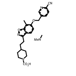 CNC.Cc1c(OCc2ccc(C#N)nc2)ccc2c(CCC3CCN(C(=O)O)CC3)noc12